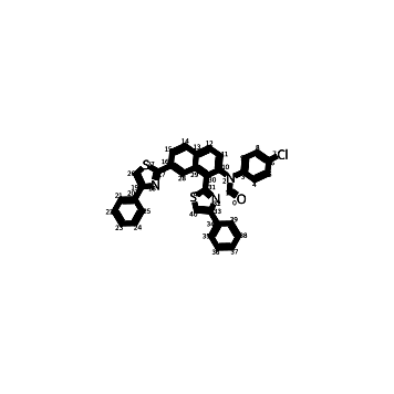 O=CN(c1ccc(Cl)cc1)c1ccc2ccc(-c3nc(-c4ccccc4)cs3)cc2c1-c1nc(-c2ccccc2)cs1